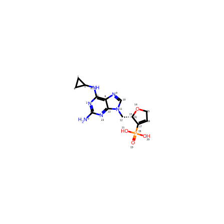 Nc1nc(NC2CC2)c2ncn(C[C@@H]3OCC=C3P(=O)(O)O)c2n1